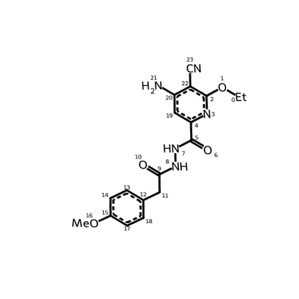 CCOc1nc(C(=O)NNC(=O)Cc2ccc(OC)cc2)cc(N)c1C#N